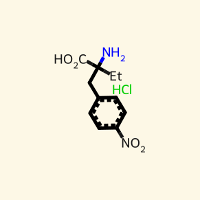 CCC(N)(Cc1ccc([N+](=O)[O-])cc1)C(=O)O.Cl